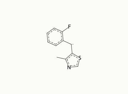 Cc1ncsc1[CH]c1ccccc1F